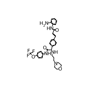 Nc1ccccc1NC(=O)C=Cc1ccc(C(NCCCN2CCOCC2)C(=O)Nc2ccc(OC(F)(F)F)cc2)cc1